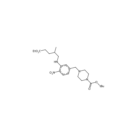 CCOC(=O)CCC(C)CNc1cc(CN2CCN(C(=O)OC(C)(C)C)CC2)ccc1[N+](=O)[O-]